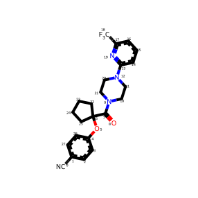 N#Cc1ccc(OC2(C(=O)N3CCN(c4cccc(C(F)(F)F)n4)CC3)CCCC2)cc1